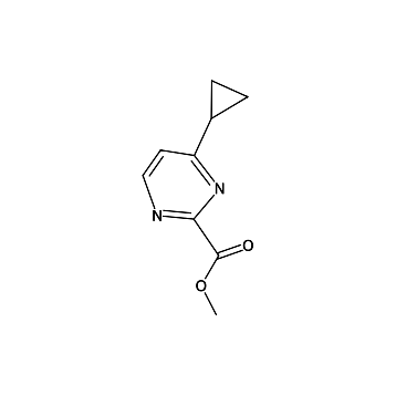 COC(=O)c1nccc(C2CC2)n1